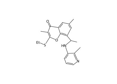 CCSc1oc2c(C(C)Nc3cccnc3C)cc(C)cc2c(=O)c1C